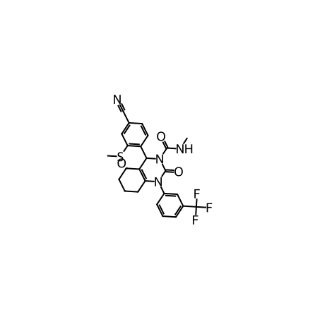 CNC(=O)N1C(=O)N(c2cccc(C(F)(F)F)c2)C2=C(C(=O)CCC2)C1c1ccc(C#N)cc1SC